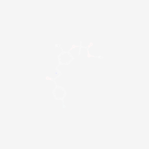 CC(C)(C)OC(=O)C(C)(C)Oc1ccc(/C=C/C(=O)c2ccc(Br)cc2)cc1C(C)(C)C